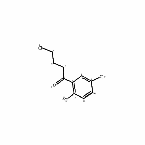 O=C(CCCCl)c1cc(Cl)ccc1O